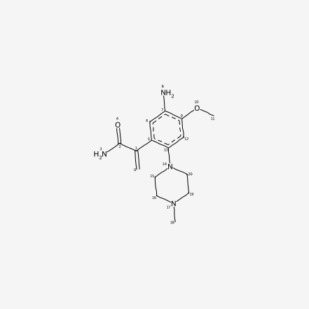 C=C(C(N)=O)c1cc(N)c(OC)cc1N1CCN(C)CC1